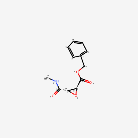 CCCNC(=O)[C@H]1O[C@@H]1C(=O)OCc1ccccc1